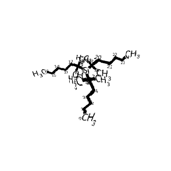 CCCCCC(C)(C)[Si](C(C)(C)CCCCC)C(C)(C)CCCCC